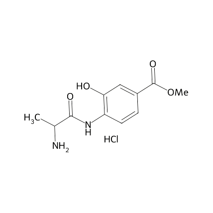 COC(=O)c1ccc(NC(=O)C(C)N)c(O)c1.Cl